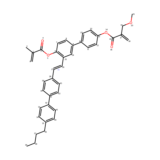 C=C(C)C(=O)Oc1ccc(-c2ccc(OC(=O)C(=C)COC)cc2)cc1/C=C/c1ccc(-c2ccc(CCCC)cc2)cc1